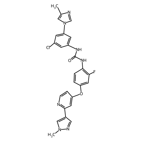 Cc1cn(-c2cc(Cl)cc(NC(=O)Nc3ccc(Oc4ccnc(-c5cnn(C)c5)c4)cc3F)c2)cn1